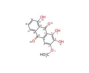 O=C(O)Oc1cc2c(c(O)c1O)C(=O)c1c(O)cccc1C2=O